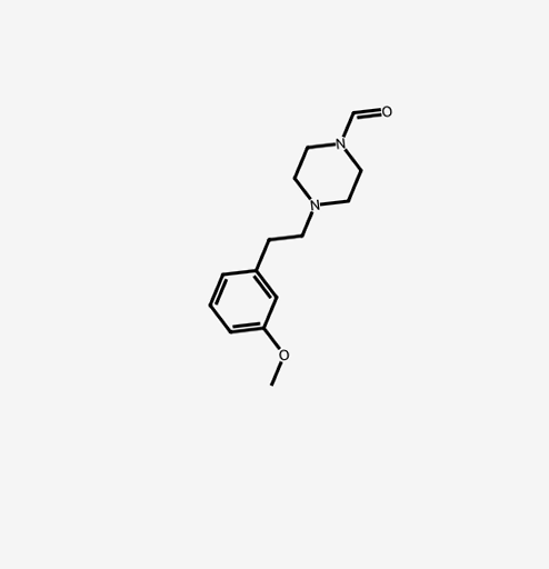 COc1cccc(CCN2CCN(C=O)CC2)c1